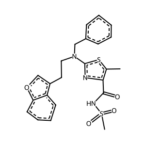 Cc1sc(N(CCc2coc3ccccc23)Cc2ccccc2)nc1C(=O)NS(C)(=O)=O